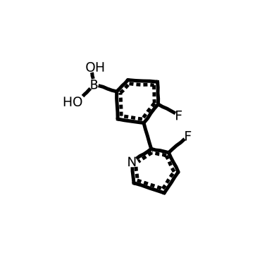 OB(O)c1ccc(F)c(-c2ncccc2F)c1